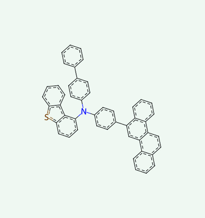 c1ccc(-c2ccc(N(c3ccc(-c4cc5c6ccccc6ccc5c5ccccc45)cc3)c3cccc4sc5ccccc5c34)cc2)cc1